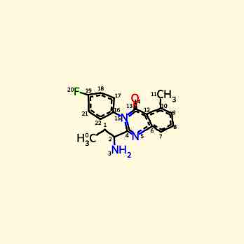 CCC(N)c1nc2cccc(C)c2c(=O)n1-c1ccc(F)cc1